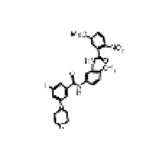 COc1ccc([N+](=O)[O-])c(C(=O)Nc2cc(NC(=O)c3cc(F)cc(N4CCOCC4)c3)ccc2C)c1